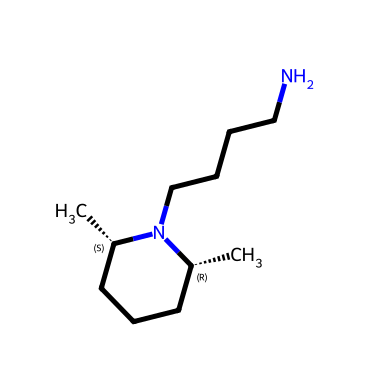 C[C@@H]1CCC[C@H](C)N1CCCCN